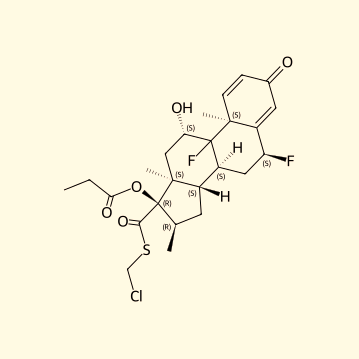 CCC(=O)O[C@]1(C(=O)SCCl)[C@H](C)C[C@H]2[C@@H]3C[C@H](F)C4=CC(=O)C=C[C@]4(C)C3(F)[C@@H](O)C[C@@]21C